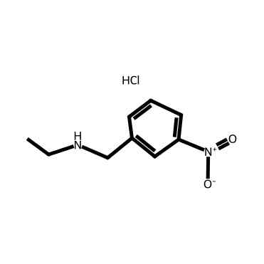 CCNCc1cccc([N+](=O)[O-])c1.Cl